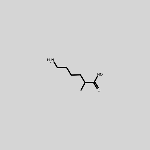 CC(CCCCN)C(=O)N=O